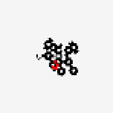 Bc1ccc(N2C(c3cc4c(cc3C=C)C(C)(C)CCC4(C)C)=C(C)Bc3c2cc2c(c3-c3cc(C4C=CC=CC4)ccc3Nc3ccc4c(c3)C(C)(C)CCC4(C)C)C3=C(CCC=C3)C2(C)C)c(-c2ccccc2)c1